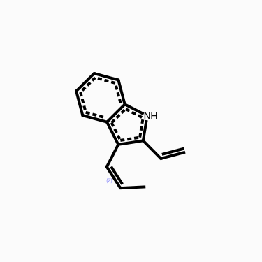 C=Cc1[nH]c2ccccc2c1/C=C\C